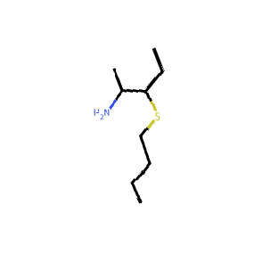 CCCCSC(CC)C(C)N